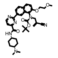 C=C(C#N)CN(C(=O)OC(C)(C)C)c1c(OCCOC)ccc2ccc(-c3nccc(C(=O)N[C@H]4CC[C@@H](N(C)C)CC4)n3)cc12